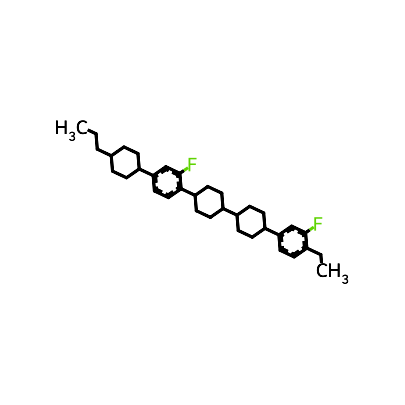 CCCC1CCC(c2ccc(C3CCC(C4CCC(c5ccc(CC)c(F)c5)CC4)CC3)c(F)c2)CC1